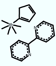 [CH3][Rh]([CH3])([CH3])([CH3])([CH3])[C]1=CC=CC1.c1ccc(-c2ccccn2)nc1